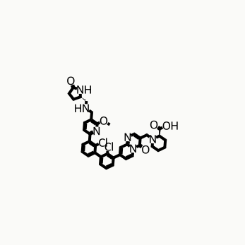 COc1nc(-c2cccc(-c3cccc(-c4ccn5c(=O)c(CN6CCCC[C@@H]6C(=O)O)cnc5c4)c3Cl)c2Cl)ccc1CNC[C@@H]1CCC(=O)N1